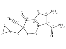 N#CC1(CC2CC2)CCc2c(sc(N)c2C(N)=O)C1=O